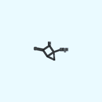 O=C1NC2(C(=O)O)CC12